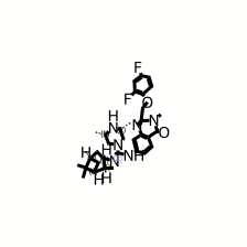 C[C@@H]1[C@@H](/N=C(/Nc2ccc3c(=O)n(C)c(COc4ccc(F)cc4F)nc3c2)N2C[C@@H](C)N[C@@H](C)C2)C[C@H]2C[C@@H]1C2(C)C